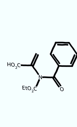 C=C(C(=O)O)N(C(=O)OCC)C(=O)c1ccccc1